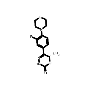 C[C@@H]1OC(=O)NN=C1c1ccc(N2CCOCC2)c(F)c1